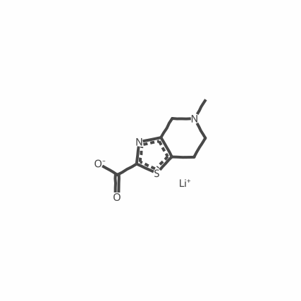 CN1CCc2sc(C(=O)[O-])nc2C1.[Li+]